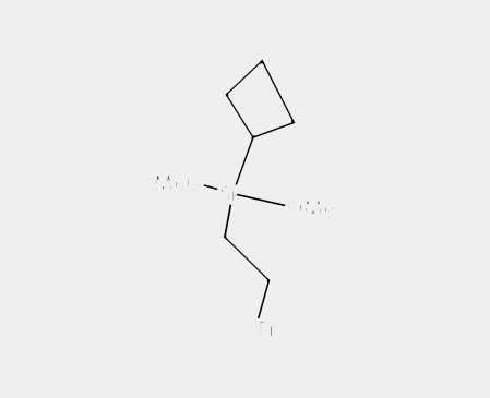 CO[Si](CCC(C)C)(OC)C1CCC1